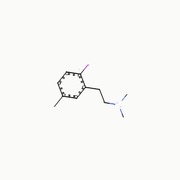 Cc1ccc(I)c(CCN(C)C)c1